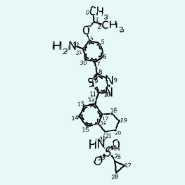 CC(C)Oc1ccc(-c2nnc(-c3cccc4c3CCC[C@@H]4NS(=O)(=O)C3CC3)s2)cc1N